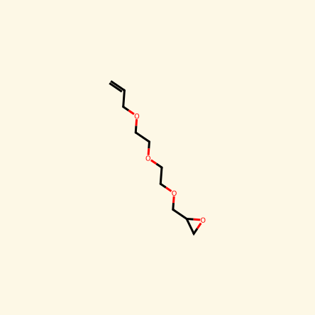 C=CCOCCOCCOCC1CO1